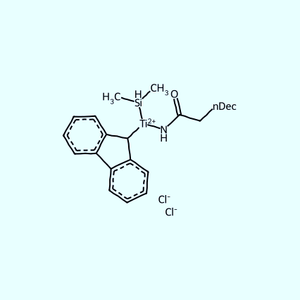 CCCCCCCCCCCC(=O)[NH][Ti+2]([CH]1c2ccccc2-c2ccccc21)[SiH](C)C.[Cl-].[Cl-]